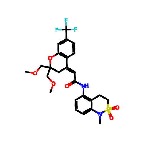 COCC1(COC)CC(=CC(=O)Nc2cccc3c2CCS(=O)(=O)N3C)c2ccc(C(F)(F)F)cc2O1